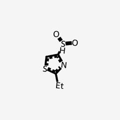 CCc1nc([SH](=O)=O)cs1